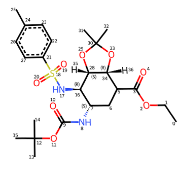 CCOC(=O)C1C[C@H](NC(=O)OC(C)(C)C)[C@@H](NS(=O)(=O)c2ccc(C)cc2)[C@@H]2OC(C)(C)O[C@H]12